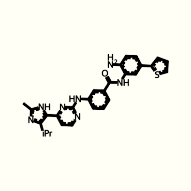 Cc1nc(C(C)C)c(-c2ccnc(Nc3cccc(C(=O)Nc4cc(-c5cccs5)ccc4N)c3)n2)[nH]1